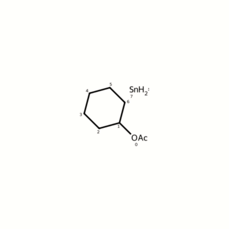 CC(=O)OC1CCCCC1.[SnH2]